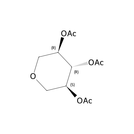 CC(=O)O[C@@H]1[C@@H](OC(C)=O)COC[C@H]1OC(C)=O